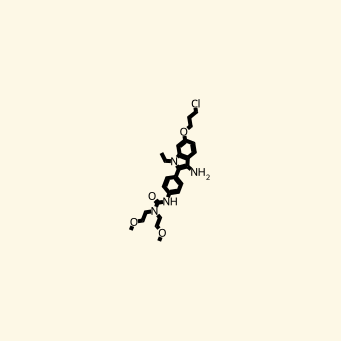 CCn1c(-c2ccc(NC(=O)N(CCOC)CCOC)cc2)c(N)c2ccc(OCCCCl)cc21